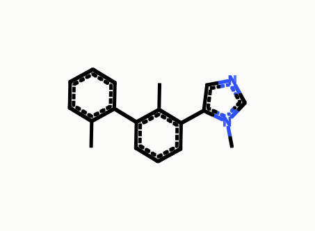 Cc1ccccc1-c1cccc(-c2cncn2C)c1C